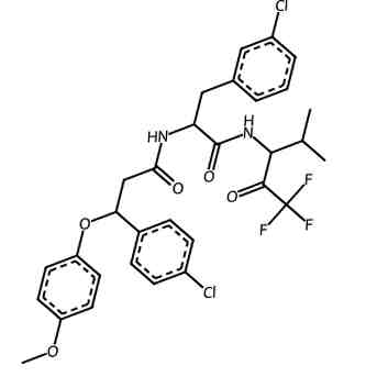 COc1ccc(OC(CC(=O)NC(Cc2cccc(Cl)c2)C(=O)NC(C(=O)C(F)(F)F)C(C)C)c2ccc(Cl)cc2)cc1